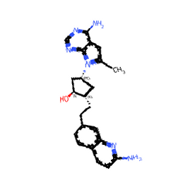 Cc1cc2c(N)ncnc2n1[C@@H]1C[C@H](CCc2ccc3ccc(N)nc3c2)[C@@H](O)C1